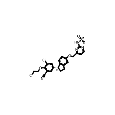 CS(=O)(=O)Nc1nccc(COc2ccc3c(c2)CC[C@@H]3c2cc(Cl)c(OCCCl)c(C#N)c2)n1